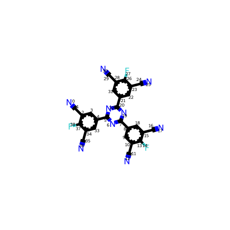 N#Cc1cc(-c2nc(-c3cc(C#N)c(F)c(C#N)c3)nc(-c3cc(C#N)c(F)c(C#N)c3)n2)cc(C#N)c1F